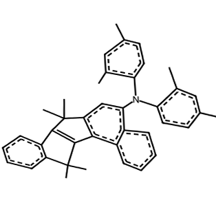 Cc1ccc(N(c2ccc(C)cc2C)c2cc3c(c4ccccc24)C2=C(c4ccccc4C2(C)C)C3(C)C)c(C)c1